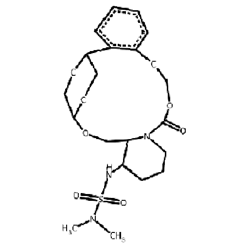 CN(C)S(=O)(=O)NC1CCCN2C(=O)OCCc3ccccc3C3CCC(CC3)OCC12